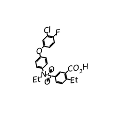 CCc1ccc(S(=O)(=O)N(CC)c2ccc(Oc3ccc(F)c(Cl)c3)cc2)cc1C(=O)O